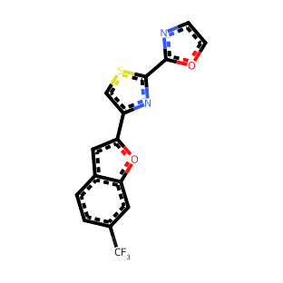 FC(F)(F)c1ccc2cc(-c3csc(-c4ncco4)n3)oc2c1